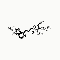 CCOC(=O)[C@H](CC(C)C)N(C)S(=O)(=O)CCCc1nccc2[nH]c(C)nc12